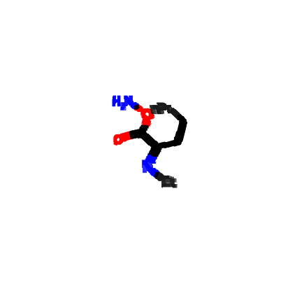 CCC/C=C\C(=N/CC)C(=O)ON